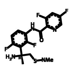 CNSC[C@](C)(N)c1c(F)ccc(NC(=O)c2ncc(F)cc2F)c1F